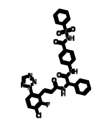 O=C(C=Cc1c(-n2ncnn2)ccc(Cl)c1F)NC(C(=O)Nc1ccc(C(=O)NS(=O)(=O)c2ccccc2)cc1)c1ccccc1